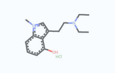 CCN(CC)CCc1cn(C)c2cccc(O)c12.Cl